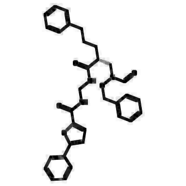 O=CN(C[C@@H](CCCc1ccccc1)C(=O)NCNC(=O)c1ccc(-c2ccccc2)o1)OCc1ccccc1